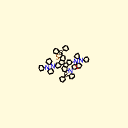 c1ccc(B2c3ccccc3Sc3c2ccc2c3-c3cc(N4c5ccccc5N(c5ccccc5)c5ccccc54)ccc3C23c2ccc(N4c5ccccc5N(c5ccccc5)c5ccccc54)cc2-c2c3ccc3c2N(c2ccccc2)c2ccccc2B3c2ccccc2)cc1